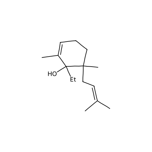 CCC1(O)C(C)=CCCC1(C)CC=C(C)C